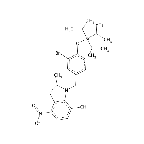 Cc1ccc([N+](=O)[O-])c2c1N(Cc1ccc(O[Si](C(C)C)(C(C)C)C(C)C)c(Br)c1)C(C)C2